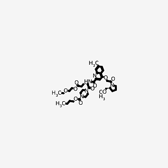 CCCCOC(=O)N1CCN(C(=O)[C@H](CCC(=O)OCCOCC)NC(=O)c2cc(OCC(=O)N3CCC[C@H]3COC)c3ccc(C)cc3n2)CC1